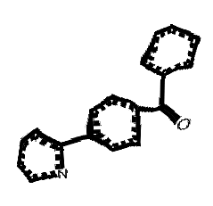 O=C(c1ccccc1)c1ccc(-c2ccccn2)cc1